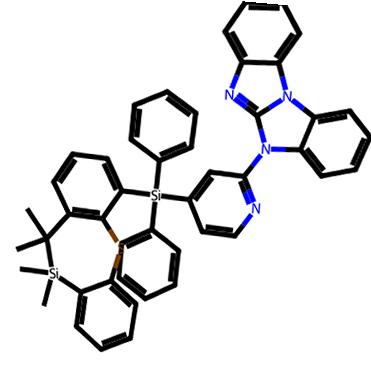 CC1(C)c2cccc([Si](c3ccccc3)(c3ccccc3)c3ccnc(-n4c5ccccc5n5c6ccccc6nc45)c3)c2Sc2ccccc2[Si]1(C)C